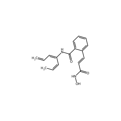 C=C/C=C(\C=C/C)NC(=O)c1ccccc1/C=C/C(=O)NO